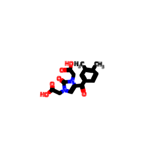 Cc1ccc(C(=O)c2cn(CC(=O)O)c(=O)n2CC(=O)O)cc1C